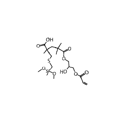 C=CC(=O)OCC(O)COC(=O)C(C)(C)CC(C)(CSC[Si](C)(OC)OC)C(=O)O